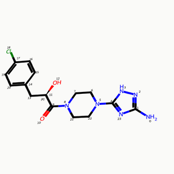 Nc1n[nH]c(N2CCN(C(=O)[C@H](O)Cc3ccc(Cl)cc3)CC2)n1